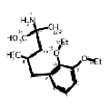 CCOc1cccc(CC(C)CC(C)(N)C(=O)O)c1OCC